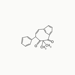 CC1(C)C(=O)c2cccc(c2)/C=C\C(c2ccccc2)C1=O